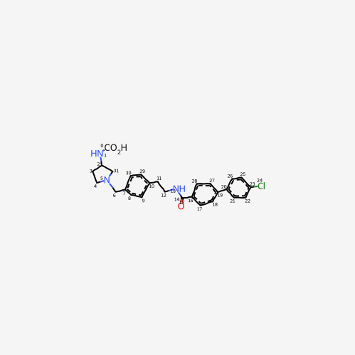 O=C(O)NC1CCN(Cc2ccc(CCNC(=O)c3ccc(-c4ccc(Cl)cc4)cc3)cc2)C1